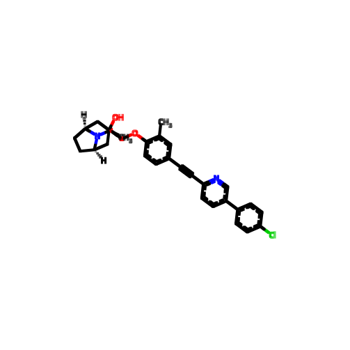 Cc1cc(C#Cc2ccc(-c3ccc(Cl)cc3)cn2)ccc1OCCN1[C@@H]2CC[C@H]1C[C@](C)(O)C2